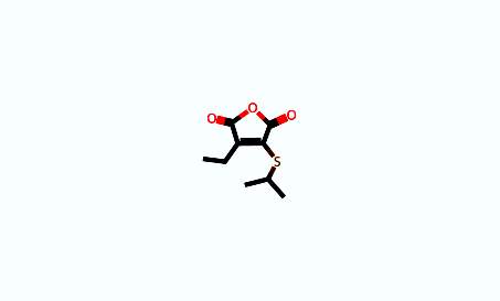 CCC1=C(SC(C)C)C(=O)OC1=O